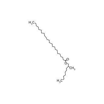 CCCCCCCCCCCCCCCCCCCCCCCC(=O)OCC(C)CCCCCCC